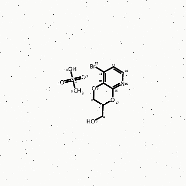 CS(=O)(=O)O.OCC1COc2c(Br)ccnc2O1